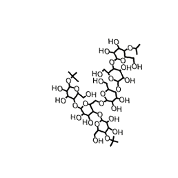 CC(C)OC1C(CO)OC(OC2C(CO)OC(OC3C(CO)OC(OCC4OC(OC5C(CO)OC(OC(C)(C)C)C(O)C5O)C(O)C(O)C4OC4OC(CO)C(OC(C)(C)C)C(O)C4O)C(O)C3O)C(O)C2O)C(O)C1O